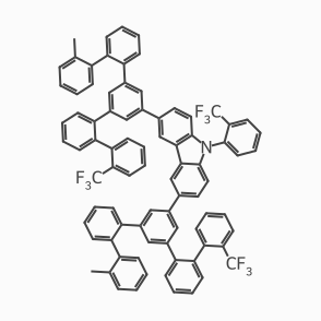 Cc1ccccc1-c1ccccc1-c1cc(-c2ccc3c(c2)c2cc(-c4cc(-c5ccccc5-c5ccccc5C)cc(-c5ccccc5-c5ccccc5C(F)(F)F)c4)ccc2n3-c2ccccc2C(F)(F)F)cc(-c2ccccc2-c2ccccc2C(F)(F)F)c1